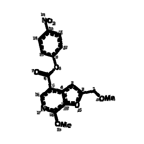 COCc1cc2c(C(=O)Oc3ccc([N+](=O)[O-])cc3)cnc(OC)c2o1